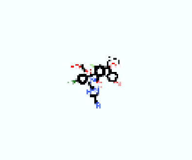 CCC(O)(c1cc(F)c2c(c1)C(=O)N(Cc1ncc(C#N)cn1)[C@@]2(OCCO)c1ccc(Cl)cc1)C1CCC(O)CC1